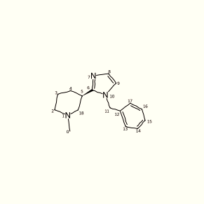 CN1CCC[C@@H](c2nccn2Cc2ccccc2)C1